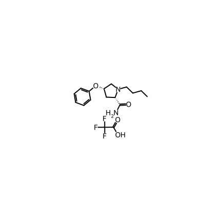 CCCCN1C[C@@H](Oc2ccccc2)C[C@H]1C(N)=O.O=C(O)C(F)(F)F